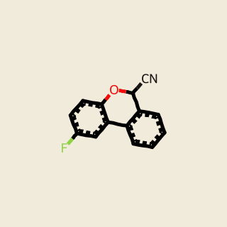 N#CC1Oc2ccc(F)cc2-c2ccccc21